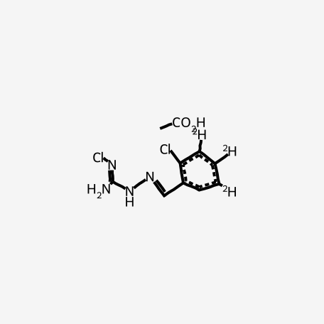 CC(=O)O.[2H]c1cc(C=NNC(N)=NCl)c(Cl)c([2H])c1[2H]